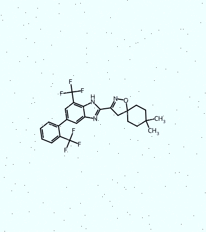 CC1(C)CCC2(CC1)CC(c1nc3cc(-c4ccccc4C(F)(F)F)cc(C(F)(F)F)c3[nH]1)=NO2